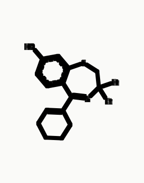 CCC1(CC)CSc2cc(O)ccc2C(C2=CCCCC2)=N1